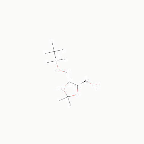 CC1(C)O[C@H](CO)[C@@H](CO[Si](C)(C)C(C)(C)C)O1